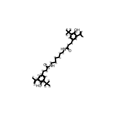 C=C(C)c1cc(CCC(=O)NCCCCCCNC(=O)CCc2cc(C(=C)C)c(O)c(C(C)(C)C)c2)cc(C(C)(C)C)c1O